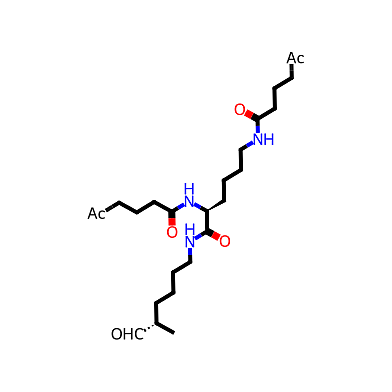 CC(=O)CCCC(=O)NCCCC[C@H](NC(=O)CCCC(C)=O)C(=O)NCCCC[C@H](C)C=O